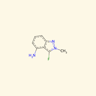 Cn1nc2cccc(N)c2c1F